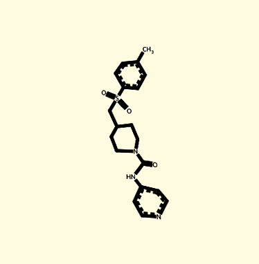 Cc1ccc(S(=O)(=O)CC2CCN(C(=O)Nc3ccncc3)CC2)cc1